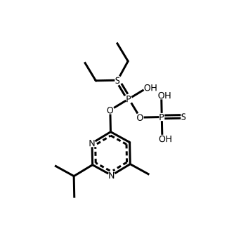 CCS(CC)=P(O)(Oc1cc(C)nc(C(C)C)n1)OP(O)(O)=S